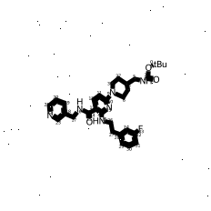 CC(C)(C)OC(=O)NCC1CCN(c2ccc(C(=O)NCc3cccnc3)c(NCCc3cccc(F)c3)n2)CC1